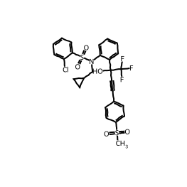 CS(=O)(=O)c1ccc(C#CC(O)(c2ccccc2N(CC2CC2)S(=O)(=O)c2ccccc2Cl)C(F)(F)F)cc1